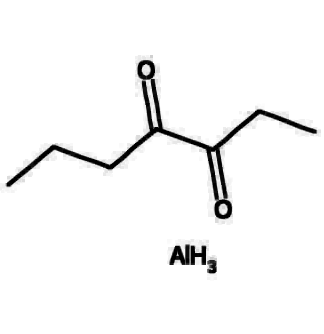 CCCC(=O)C(=O)CC.[AlH3]